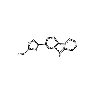 CC(=O)Nc1nc(-c2ccc3c(c2)[nH]c2ccccc23)cs1